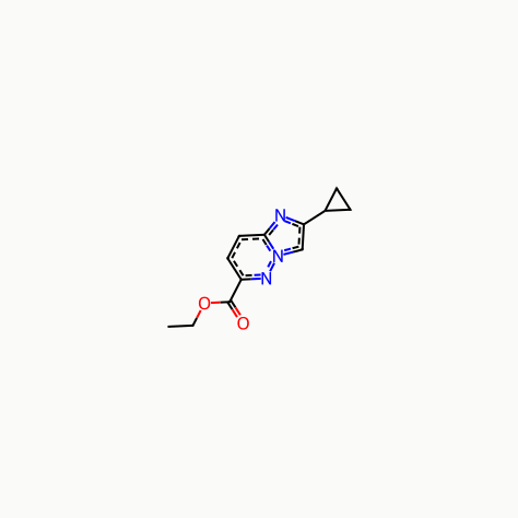 CCOC(=O)c1ccc2nc(C3CC3)cn2n1